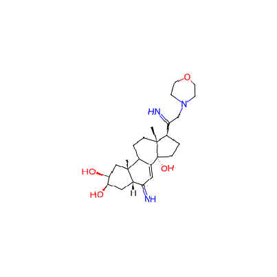 C[C@]12C[C@H](O)[C@H](O)C[C@H]1C(=N)C=C1C2CC[C@]2(C)[C@@H](C(=N)CN3CCOCC3)CC[C@@]12O